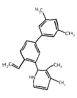 C=Cc1ccc(-c2cc(C)cc(C)c2)cc1C1NC=CC(C)=C1C